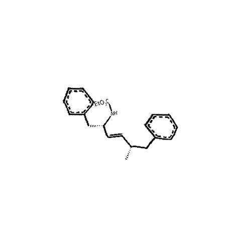 CCOC(=O)N[C@H](/C=C/[C@@H](C)Cc1ccccc1)Cc1ccccc1